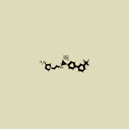 Cl.Cl.N[C@@H]1CCN(CCN[C@@H]2C[C@H]2c2ccc(-c3cccc(C(F)(F)F)c3)cc2)C1